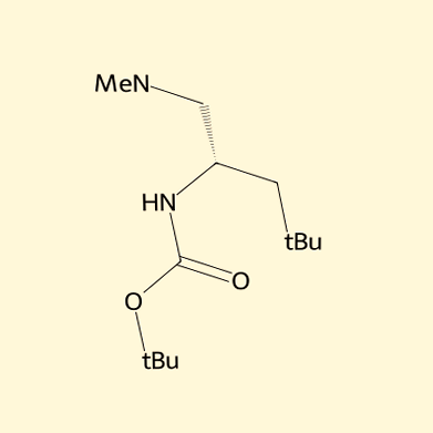 CNC[C@H](CC(C)(C)C)NC(=O)OC(C)(C)C